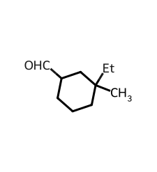 CCC1(C)CCCC(C=O)C1